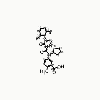 Cc1ccc(N(C(=O)n2nnn(-c3c(F)cccc3F)c2=O)C2CCCC2)cc1C(=O)O